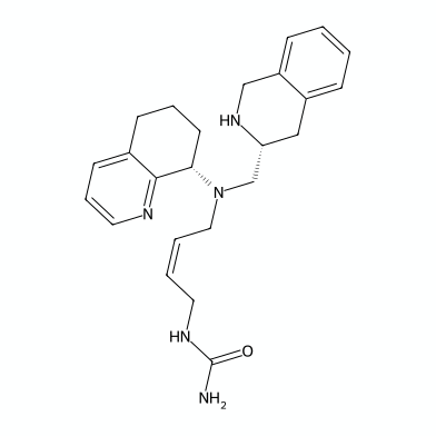 NC(=O)NC/C=C\CN(C[C@H]1Cc2ccccc2CN1)[C@H]1CCCc2cccnc21